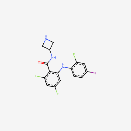 O=C(NC1CNC1)c1c(F)cc(F)cc1Nc1ccc(I)cc1F